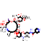 CO[C@]1(C)C[C@H](O[C@H]2[C@H](C)[C@@H](O[C@@H]3O[C@H](C)C[C@H](N(C)C)[C@H]3OCCCNC(=O)c3ccncc3)[C@](C)(O)C[C@@H](C)CN(C)[C@H](C)[C@@H](O)/C(O)=C(/I)OC(=O)[C@@H]2C)O[C@@H](C)[C@@H]1O